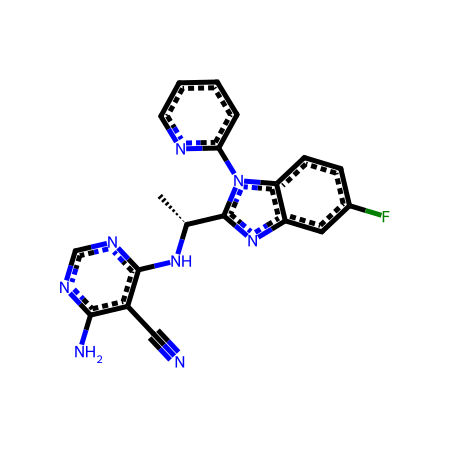 C[C@@H](Nc1ncnc(N)c1C#N)c1nc2cc(F)ccc2n1-c1ccccn1